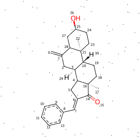 C=C1C[C@@H]2C3C/C(=C\c4ccccc4)C(=O)[C@]3(C)CC[C@H]2[C@]2(C)CC[C@H](O)CC12